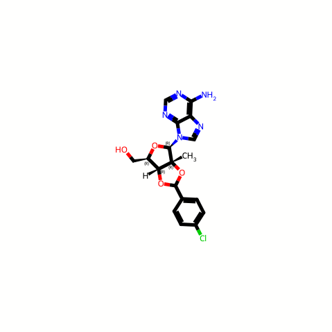 C[C@@]12OC(c3ccc(Cl)cc3)O[C@@H]1[C@@H](CO)O[C@H]2n1cnc2c(N)ncnc21